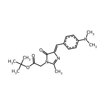 CC1=N/C(=C\c2ccc(N(C)C)cc2)C(=O)N1CC(=O)OC(C)(C)C